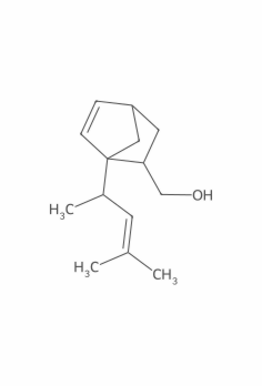 CC(C)=CC(C)C12C=CC(CC1CO)C2